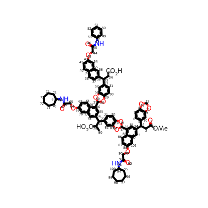 COC(=O)CC(c1ccc2c(c1)OCO2)c1cc(C2Oc3ccc(C(c4cc(C5Oc6ccc(C(CC(=O)O)c7ccc8ccc(OCC(=O)Nc9ccccc9)cc8c7)cc6O5)c5ccc(OCC(=O)NC6CCCCCC6)cc5c4)C(C)C(=O)O)cc3O2)c2ccc(OCC(=O)NC3CCCCCC3)cc2c1